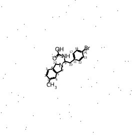 Cc1ccc2c(c1)CN(C(Cc1ccc(Br)cc1)NC(=O)O)C2